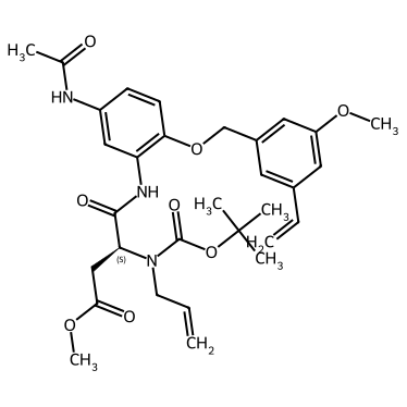 C=CCN(C(=O)OC(C)(C)C)[C@@H](CC(=O)OC)C(=O)Nc1cc(NC(C)=O)ccc1OCc1cc(C=C)cc(OC)c1